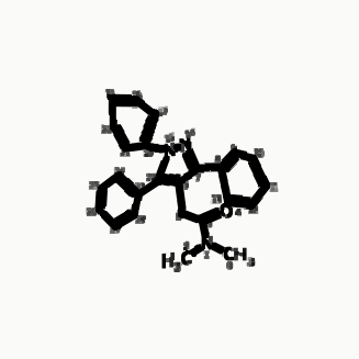 CN(C)C(=O)Cc1c(-c2ccccc2)nn(-c2ccccc2)c1-c1ccccc1